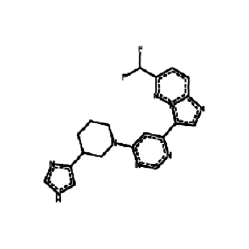 FC(F)c1ccc2ncc(-c3cc(N4CCCC(c5c[nH]cn5)C4)ncn3)n2n1